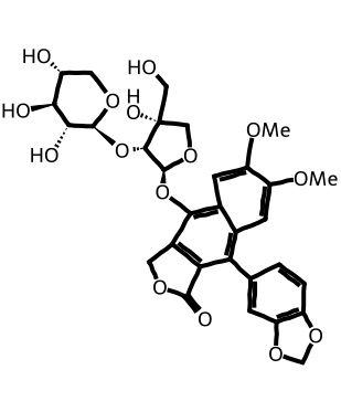 COc1cc2c(O[C@@H]3OC[C@](O)(CO)[C@H]3O[C@@H]3OC[C@@H](O)[C@H](O)[C@H]3O)c3c(c(-c4ccc5c(c4)OCO5)c2cc1OC)C(=O)OC3